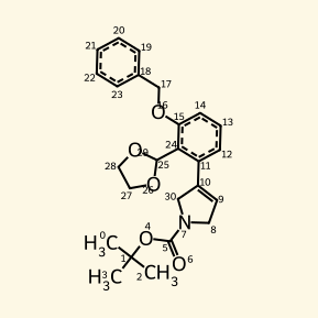 CC(C)(C)OC(=O)N1CC=C(c2cccc(OCc3ccccc3)c2C2OCCO2)C1